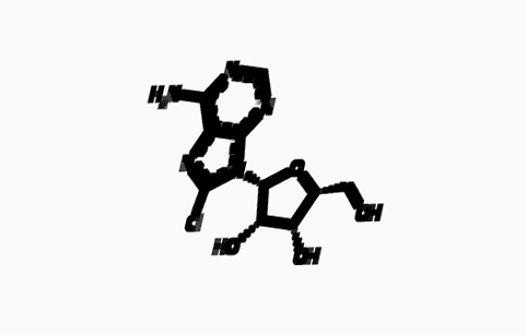 Nc1ncnc2c1nc(Cl)n2[C@@H]1O[C@H](CO)[C@H](O)[C@@H]1O